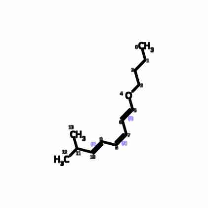 CCCCO/C=C/C=C\C=C\C(C)C